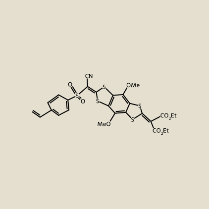 C=Cc1ccc(S(=O)(=O)C(C#N)=C2Sc3c(OC)c4c(c(OC)c3S2)SC(=C(C(=O)OCC)C(=O)OCC)S4)cc1